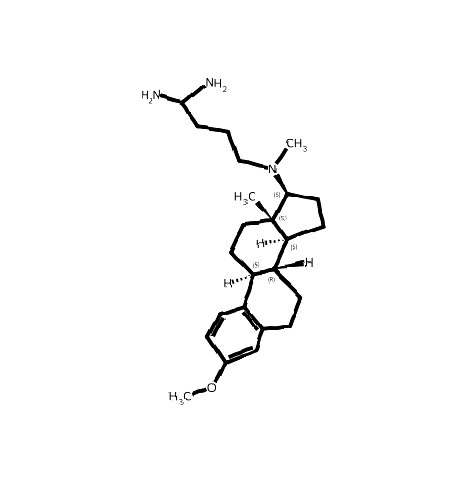 COc1ccc2c(c1)CC[C@@H]1[C@@H]2CC[C@]2(C)[C@@H](N(C)CCCC(N)N)CC[C@@H]12